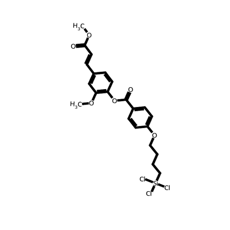 COC(=O)/C=C/c1ccc(OC(=O)c2ccc(OCCCC[Si](Cl)(Cl)Cl)cc2)c(OC)c1